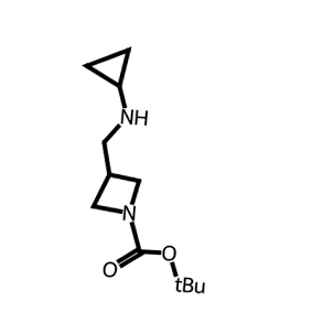 CC(C)(C)OC(=O)N1CC(CNC2CC2)C1